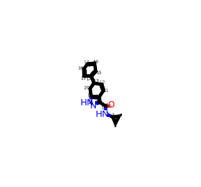 O=C(NC1CC1)c1n[nH]c2c1C=CC(c1ccccc1)C2